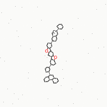 c1ccc(-c2ccc3cc(-c4ccc5oc6cc7c(cc6c5c4)oc4ccc(-c5cccc(-c6cc8ccccc8c8ccccc68)c5)cc47)ccc3c2)cc1